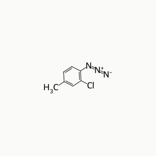 Cc1ccc(N=[N+]=[N-])c(Cl)c1